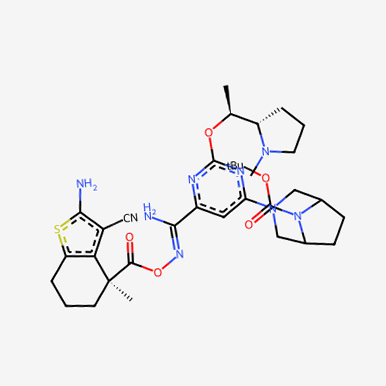 C[C@H](Oc1nc(/C(N)=N/OC(=O)[C@@]2(C)CCCc3sc(N)c(C#N)c32)cc(N2CC3CCC(C2)N3C(=O)OC(C)(C)C)n1)[C@@H]1CCCN1C